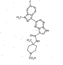 Cn1nc(-c2cnc3[nH]cc(C(=O)NC4(C)CCN(C(=O)O)CC4)c3n2)c2ccc(F)cc21